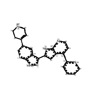 C1=C(c2cnc3[nH]nc(-c4cc5c(-c6ccccn6)ccnc5[nH]4)c3c2)CCNC1